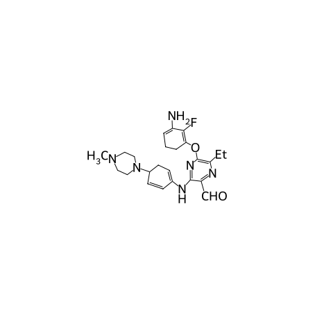 CCc1nc(C=O)c(NC2=CCC(N3CCN(C)CC3)C=C2)nc1OC1=C(F)C(N)=CCC1